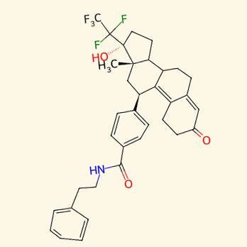 C[C@]12C[C@H](c3ccc(C(=O)NCCc4ccccc4)cc3)C3=C4CCC(=O)C=C4CCC3C1CC[C@]2(O)C(F)(F)C(F)(F)F